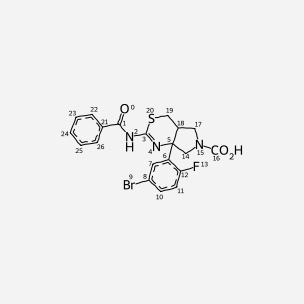 O=C(NC1=NC2(c3cc(Br)ccc3F)CN(C(=O)O)CC2CS1)c1ccccc1